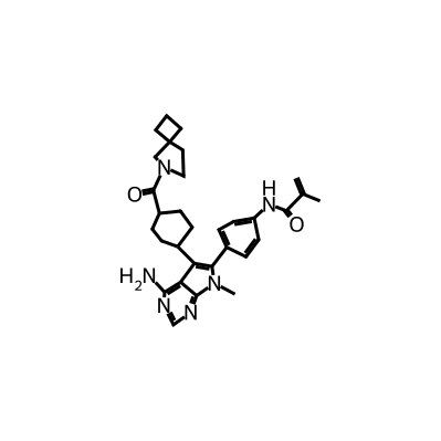 C=C(C)C(=O)Nc1ccc(-c2c(C3CCC(C(=O)N4CCC5(CCC5)C4)CC3)c3c(N)ncnc3n2C)cc1